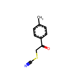 Cc1ccc(C(=O)CSC#N)cc1